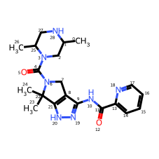 CC1CN(C(=O)N2Cc3c(NC(=O)c4ccccn4)n[nH]c3C2(C)C)C(C)CN1